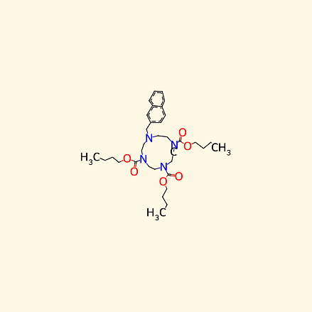 CCCCOC(=O)N1CCN(Cc2ccc3ccccc3c2)CCN(C(=O)OCCCC)CCN(C(=O)OCCCC)CC1